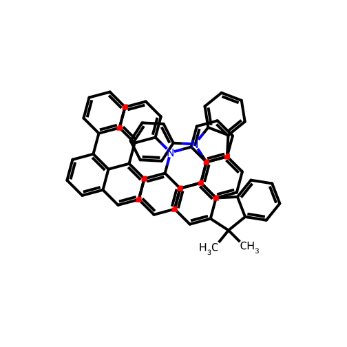 CC1(C)c2ccccc2-c2c(-c3ccccc3N(c3ccccc3-c3cccc4cccc(-c5ccccc5)c34)c3ccccc3-c3cccc4c5ccccc5n(-c5ccccc5)c34)cccc21